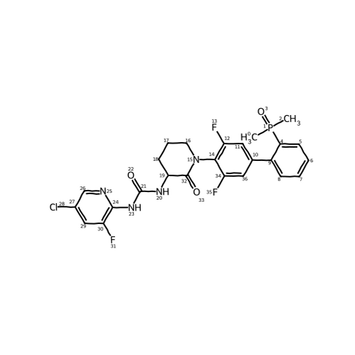 CP(C)(=O)c1ccccc1-c1cc(F)c(N2CCCC(NC(=O)Nc3ncc(Cl)cc3F)C2=O)c(F)c1